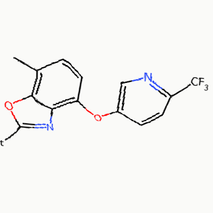 CCc1nc2c(Oc3ccc(C(F)(F)F)nc3)ccc(C)c2o1